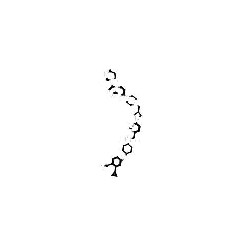 N#Cc1ccc(OC2CCC(NC(=O)c3ccc(N4CC(CN5CCN(c6ccn7c(N8CCC(=O)NC8=O)cnc7n6)CC5)C4)nn3)CC2)cc1C1CC1